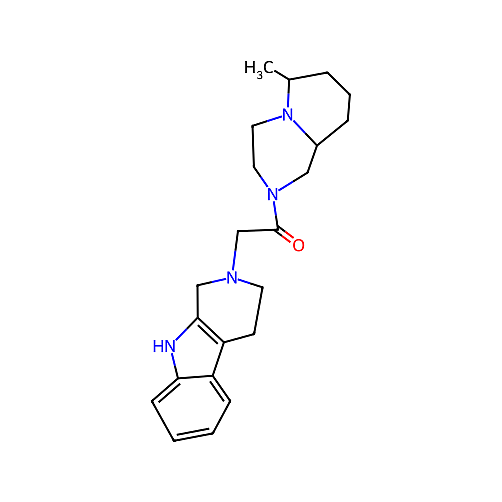 CC1CCCC2CN(C(=O)CN3CCc4c([nH]c5ccccc45)C3)CCN12